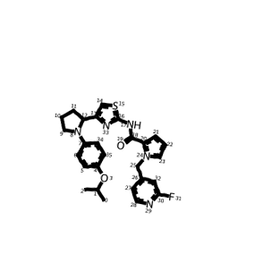 CC(C)Oc1ccc(N2CCCC2c2csc(NC(=O)c3cccn3Cc3ccnc(F)c3)n2)cc1